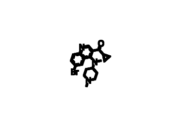 CN1CCC(N(C)c2c(C(=O)C3CC3)cnc3ccc(Br)cc23)CC1